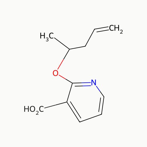 C=CCC(C)Oc1ncccc1C(=O)O